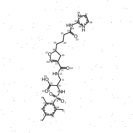 Cc1cc(C)c(S(=O)(=O)NC(CNC(=O)C2=NOC(CCCC(=O)Nc3ncc[nH]3)C2)C(=O)O)c(C)c1